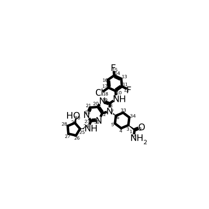 NC(=O)[C@H]1CC[C@H](n2c(Nc3c(F)cc(F)cc3Cl)nc3cnc(N[C@@H]4CCC[C@H]4O)nc32)CC1